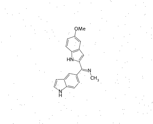 C/N=C(\c1ccc2[nH]ccc2c1)c1cc2cc(OC)ccc2[nH]1